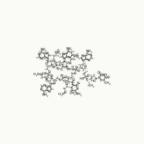 CC[C@H]1O[C@@H](n2cc(C)c(=O)[nH]c2=O)C[C@H]1OP(=O)(S)OC[C@H]1O[C@@H](n2cnc3c(N)ncnc32)C[C@H]1OP(=O)(S)OC[C@H]1O[C@@H](n2cc(C)c(N)nc2=O)C(OCCOC)[C@H]1OP(=O)(O)OC[C@H]1O[C@@H](n2cnc3c(N)ncnc32)C(OCCOC)[C@H]1OP(=O)(S)OC[C@H]1O[C@@H](n2cnc3c(N)ncnc32)C(OCCOC)[C@H]1OP(=O)(S)OC[C@H]1O[C@@H](n2cnc3c(N)ccnc32)C(OCCOC)[C@H]1O